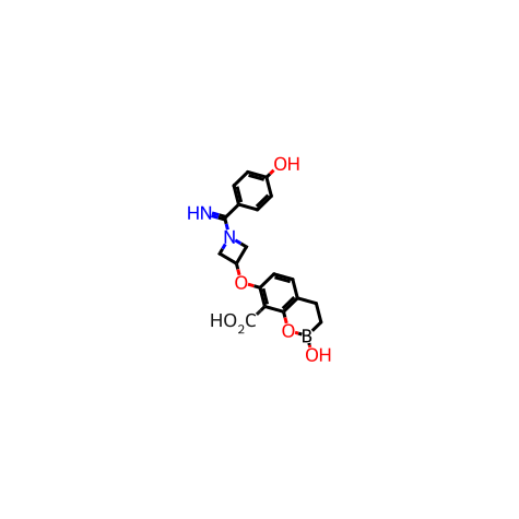 N=C(c1ccc(O)cc1)N1CC(Oc2ccc3c(c2C(=O)O)OB(O)CC3)C1